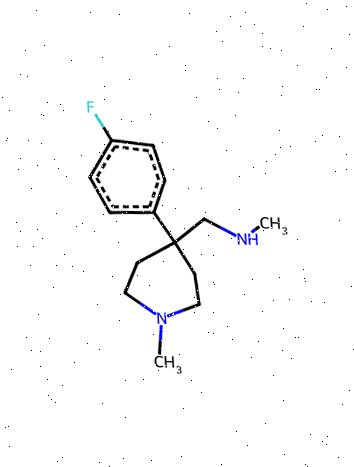 CNCC1(c2ccc(F)cc2)CCN(C)CC1